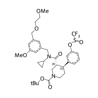 COCCOCc1cc(CN(C(=O)[C@H]2CN(C(=O)OC(C)(C)C)CC[C@@H]2c2cccc(OS(=O)C(F)(F)F)c2)C2CC2)cc(OC)c1